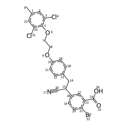 Cc1cc(Cl)c(OCCOc2ccc(CC(C#N)c3ccc(Br)c(C(=O)O)c3)cc2)c(Cl)c1